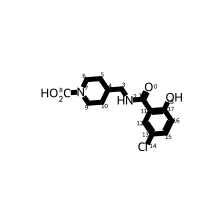 O=C(NCC1CCN(C(=O)O)CC1)c1cc(Cl)ccc1O